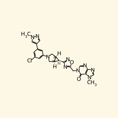 Cn1cc(-c2cc(Cl)cc(N3C[C@@H]4[C@H](C3)[C@@H]4c3noc(Cn4cnc5ncn(C)c5c4=O)n3)c2)cn1